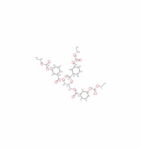 CCOC(=O)Oc1cccc(C(=O)OCC(COC(=O)c2cccc(OC(=O)OCC)c2)OC(=O)c2cccc(OC(=O)OCC)c2)c1